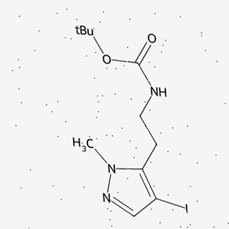 Cn1ncc(I)c1CCNC(=O)OC(C)(C)C